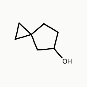 OC1CCC2(CC2)C1